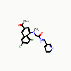 COC(=O)c1cc(N(C)CC(=O)NCc2cccnc2)c2c(Cl)cc(Cl)cc2c1